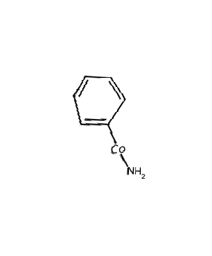 [NH2][Co][c]1ccccc1